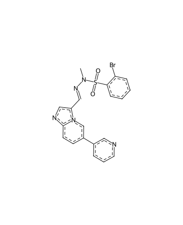 CN(/N=C/c1cnc2ccc(-c3cccnc3)cn12)S(=O)(=O)c1ccccc1Br